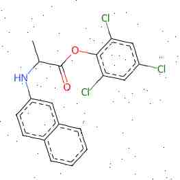 CC(Nc1ccc2ccccc2c1)C(=O)Oc1c(Cl)cc(Cl)cc1Cl